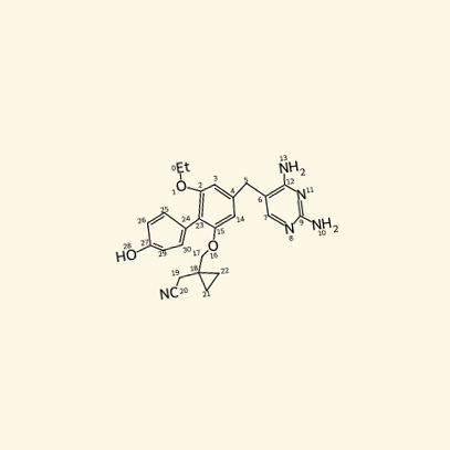 CCOc1cc(Cc2cnc(N)nc2N)cc(OCC2(CC#N)CC2)c1-c1ccc(O)cc1